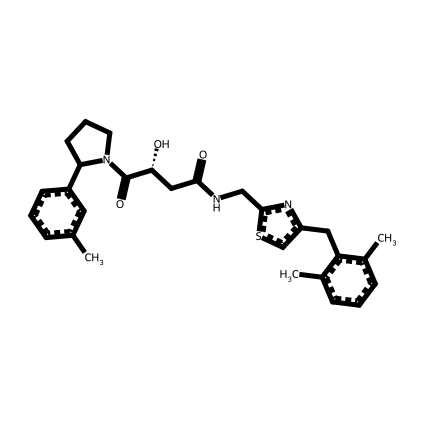 Cc1cccc(C2CCCN2C(=O)[C@H](O)CC(=O)NCc2nc(Cc3c(C)cccc3C)cs2)c1